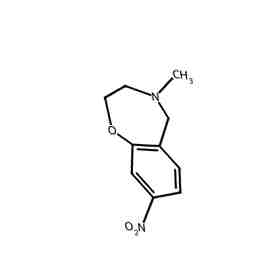 CN1CCOc2cc([N+](=O)[O-])ccc2C1